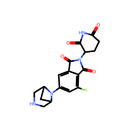 O=C1CCC(N2C(=O)c3cc(N4C5CNCC4C5)cc(F)c3C2=O)C(=O)N1